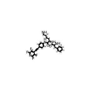 NCCCCC(NC(=O)C(N)Cc1ccccc1)C(=O)Nc1ccc(C#Cc2c(F)c(F)nc(F)c2F)cc1